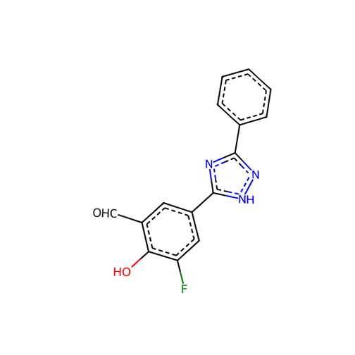 O=Cc1cc(-c2nc(-c3ccccc3)n[nH]2)cc(F)c1O